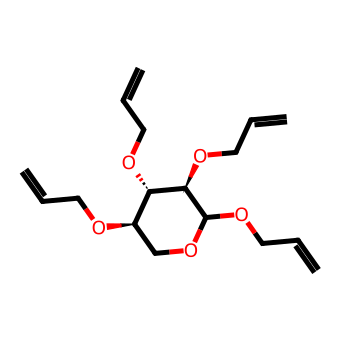 C=CCOC1OC[C@@H](OCC=C)[C@H](OCC=C)[C@H]1OCC=C